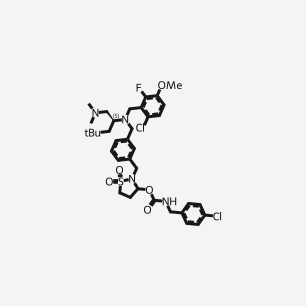 COc1ccc(Cl)c(CN(Cc2cccc(CN3C(OC(=O)NCc4ccc(Cl)cc4)CCS3(=O)=O)c2)[C@H](CN(C)C)CC(C)(C)C)c1F